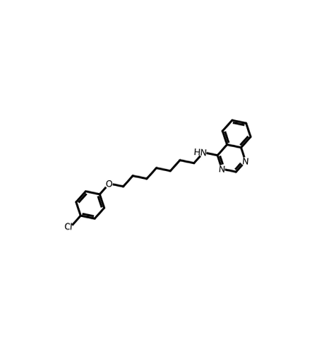 Clc1ccc(OCCCCCCCNc2ncnc3ccccc23)cc1